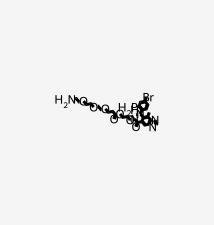 Cc1c(N(C)c2ccc(Br)cc2P)c(C(=O)NOCCOC(=O)CCOCCOCCOCCN)cc2c1ncn2C